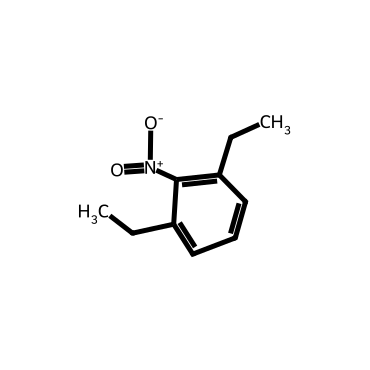 CCc1cccc(CC)c1[N+](=O)[O-]